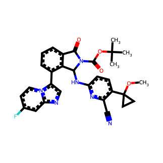 COC1(c2ccc(NC3c4c(cccc4-c4cnc5cc(F)ccn45)C(=O)N3C(=O)OC(C)(C)C)nc2C#N)CC1